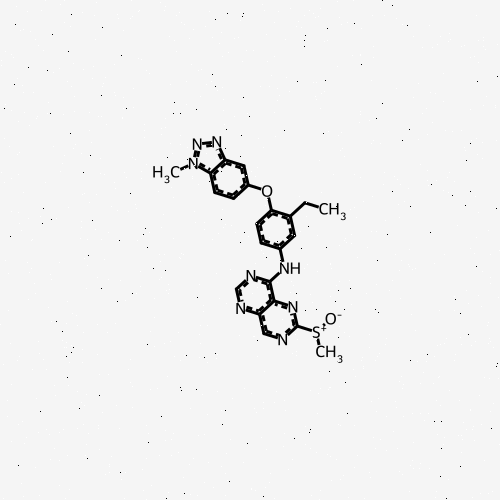 CCc1cc(Nc2ncnc3cnc([S+](C)[O-])nc23)ccc1Oc1ccc2c(c1)nnn2C